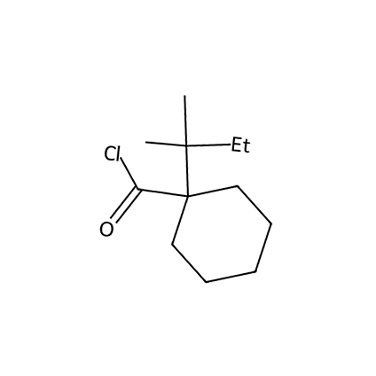 CCC(C)(C)C1(C(=O)Cl)CCCCC1